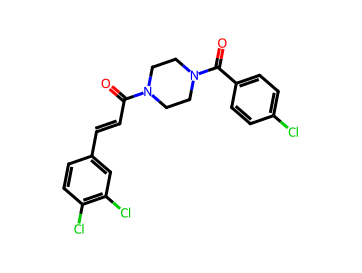 O=C(C=Cc1ccc(Cl)c(Cl)c1)N1CCN(C(=O)c2ccc(Cl)cc2)CC1